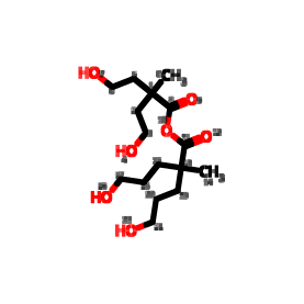 CC(CCO)(CCO)C(=O)OC(=O)C(C)(CCCO)CCCO